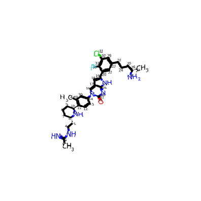 CC(=N)NCC[C@@H]1CCC[C@@H](c2ccc(-n3cc4cc(-c5cc(CCC[C@H](C)N)cc(Cl)c5F)[nH]c4nc3=O)cc2C)N1